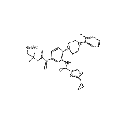 CC(=O)NCC(C)(C)CNC(=O)c1ccc(N2CCN(c3ccccc3C)CC2)c(NC(=O)c2coc(C3CC3)n2)c1